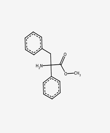 COC(=O)C(N)(Cc1ccccc1)c1ccccc1